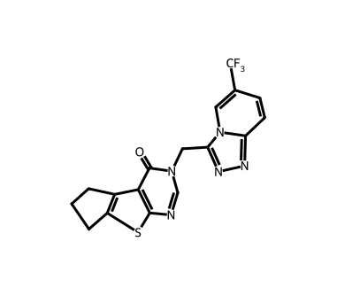 O=c1c2c3c(sc2ncn1Cc1nnc2ccc(C(F)(F)F)cn12)CCC3